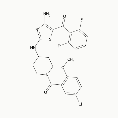 COc1ccc(Cl)cc1C(=O)N1CCC(Nc2nc(N)c(C(=O)c3c(F)cccc3F)s2)CC1